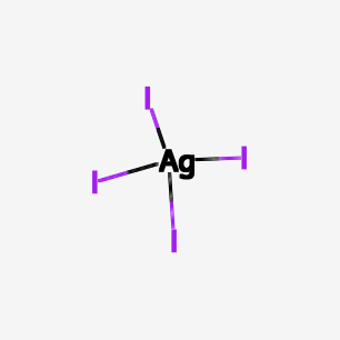 [I][Ag]([I])([I])[I]